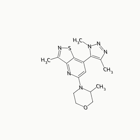 Cc1nnn(C)c1-c1cc(N2CCOCC2C)nc2c(C)nsc12